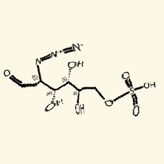 [N-]=[N+]=N[C@H](C=O)[C@@H](O)[C@H](O)[C@H](O)COS(=O)(=O)O